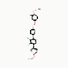 CCCCOc1ccc(-c2ccc(-c3ccc(OCc4ccc(OCCCC)c(F)c4)cc3)c(F)c2F)cc1